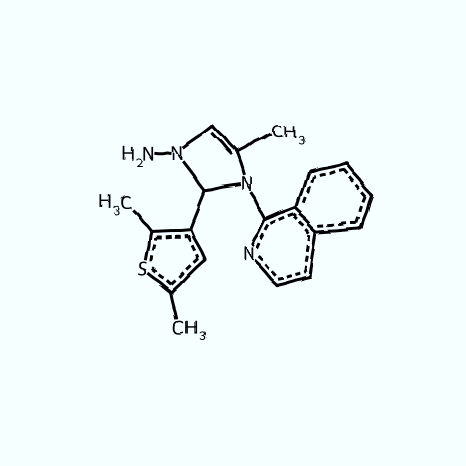 CC1=CN(N)C(c2cc(C)sc2C)N1c1nccc2ccccc12